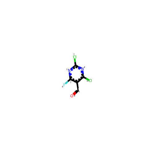 O=Cc1c(F)nc(Cl)nc1Cl